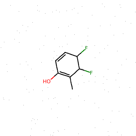 CC1=C(O)C=CC(F)C1F